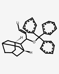 [Li][CH]=CC(OC(c1ccccc1)(c1ccccc1)c1ccccc1)C1[C@H]2CC3CC(C[C@H]1C3)C2